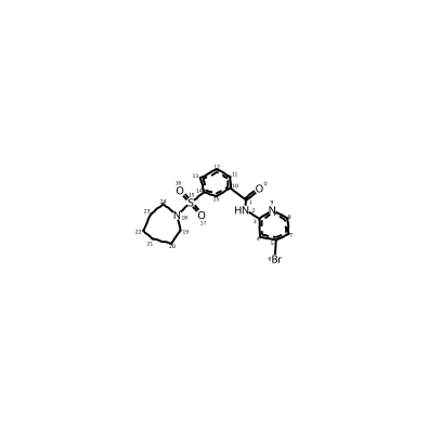 O=C(Nc1cc(Br)ccn1)c1cccc(S(=O)(=O)N2CCCCCC2)c1